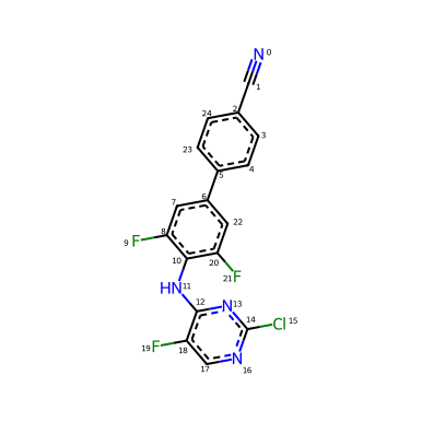 N#Cc1ccc(-c2cc(F)c(Nc3nc(Cl)ncc3F)c(F)c2)cc1